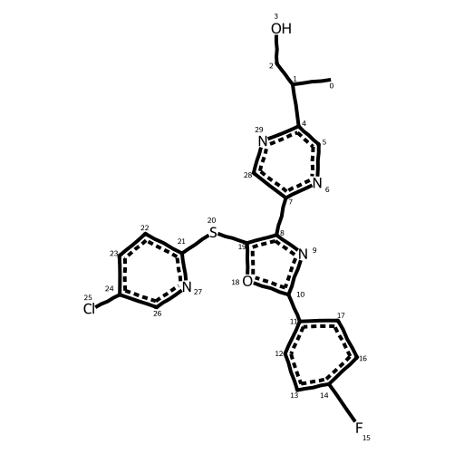 CC(CO)c1cnc(-c2nc(-c3ccc(F)cc3)oc2Sc2ccc(Cl)cn2)cn1